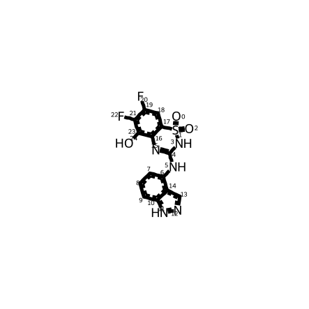 O=S1(=O)NC(Nc2cccc3[nH]ncc23)=Nc2c1cc(F)c(F)c2O